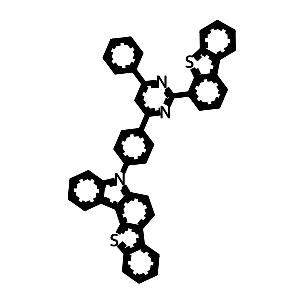 c1ccc(-c2cc(-c3ccc(-n4c5ccccc5c5c6sc7ccccc7c6ccc54)cc3)nc(-c3cccc4c3sc3ccccc34)n2)cc1